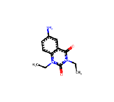 CCn1c(=O)c2cc(N)ccc2n(CC)c1=O